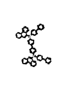 c1ccc(-c2ccc(N(c3ccc(-c4ccc(N(c5ccc(-c6ccccc6)cc5)c5cc6ccccc6c6ccccc56)cc4)cc3)c3cc4ccccc4c4ccccc34)cc2)cc1